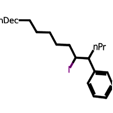 CCCCCCCCCCCCCCCC(I)C(CCC)c1ccccc1